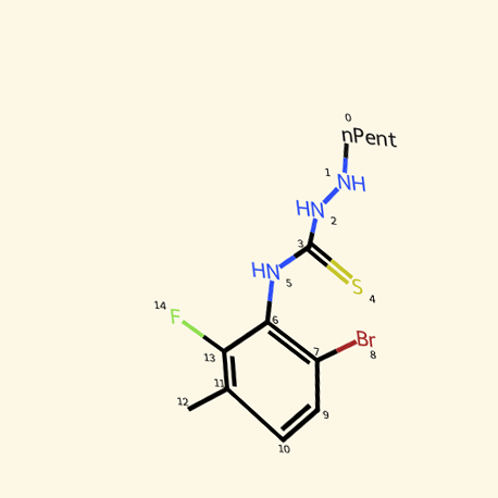 CCCCCNNC(=S)Nc1c(Br)ccc(C)c1F